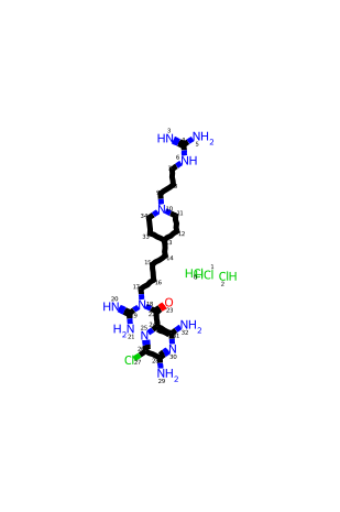 Cl.Cl.Cl.N=C(N)NCCCN1CCC(CCCCN(C(=N)N)C(=O)c2nc(Cl)c(N)nc2N)CC1